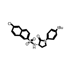 CC(C)(C)c1ccc(N2CC[C@H](NS(=O)(=O)c3ccc4cc(Cl)ccc4c3)C2=O)cc1